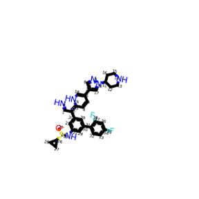 N=C/C(=C1/C=CC(c2cnn(C3CCNCC3)c2)=CN1)c1cc(N[S+]([O-])C2CC2)cc(-c2ccc(F)cc2F)c1